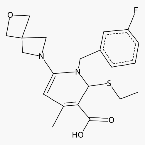 CCSC1C(C(=O)O)=C(C)C=C(N2CC3(COC3)C2)N1Cc1cccc(F)c1